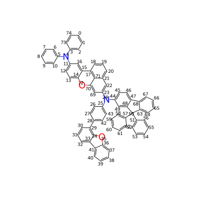 c1ccc(N(c2ccccc2)c2ccc3c(c2)-c2cccc4cc(N(c5ccc(-c6cccc7c6oc6ccccc67)cc5)c5ccc6c(c5)C(c5ccccc5)(c5ccccc5)c5ccccc5-6)cc(c24)O3)cc1